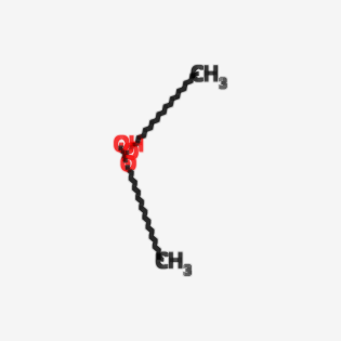 CCCCCCCCCCCCCCCCCCCCOCC(CO)OCCCCCCCCCCCCCCCCCCCC